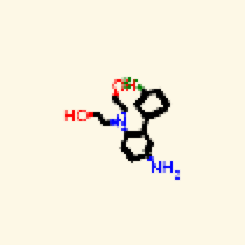 Nc1ccc(N(CCO)CCO)c(-c2cccc(Br)c2)c1